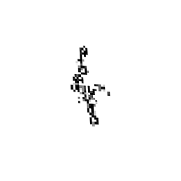 CCCCCC(CN(C=O)OCc1ccccc1)C(=O)NCNC(=O)c1ccc(-c2cccc(OCCN3CCCC3)c2)o1